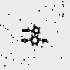 O=Cc1ccco1.O=[N+]([O-])c1ccc([N+](=O)[O-])cc1